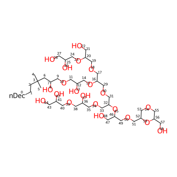 CCCCCCCCCCCCC(C)(C)CC(O)COCC(O)COC(COCC(CO)OCC(O)CO)COCC(COCC(O)COCC(O)CO)OC(CO)COCC1COCC(CO)O1